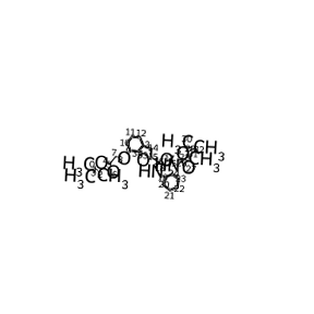 CC(C)(C)OC(=O)COc1cccc2cc(C(=O)Nc3ccccc3NC(=O)OC(C)(C)C)oc12